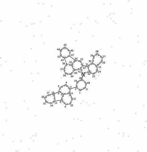 c1cc(-c2ccc3c4c(cccc24)-c2ccccc2-3)cc(-n2c3ccc4ccccc4c3c3cc4c5c(cccc5c32)-c2ccccc2-4)c1